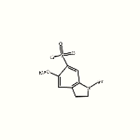 COc1cc2c(cc1S(=O)(=O)Cl)N(C(C)C)CC2